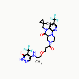 C[C@@H](COCCC(=O)N1CCN2c3ncc(C(F)(F)F)cc3N(CC3(C)CC3)C(=O)C2C1)Nc1cn[nH]c(=O)c1C(F)(F)F